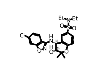 CCN(CC)S(=O)(=O)c1ccc2c(c1)[C@@H](Nc1noc3cc(Cl)ccc13)[C@H](O)C(C)(C)O2